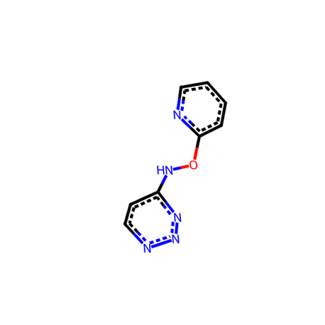 c1ccc(ONc2ccnnn2)nc1